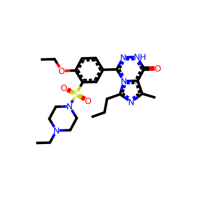 CCCc1nc(C)c2c(=O)[nH]nc(-c3ccc(OCC)c(S(=O)(=O)N4CCN(CC)CC4)c3)n12